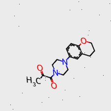 CC(=O)C(=O)N1CCN(c2ccc3c(c2)CCCO3)CC1